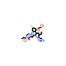 C=CC(=O)N1CCn2nc(-c3nc(-c4cn(C)cn4)c4ccsc4c3-c3c(F)cc(F)cc3OCCOC)cc2C1C